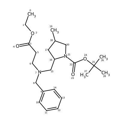 CCOC(=O)CCN(Cc1ccccc1)CC1CC(C)CN1C(=O)OC(C)(C)C